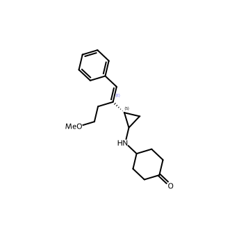 COCC/C(=C\c1ccccc1)[C@@H]1CC1NC1CCC(=O)CC1